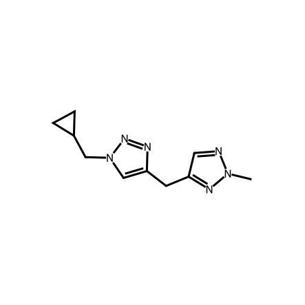 Cn1ncc(Cc2cn(CC3CC3)nn2)n1